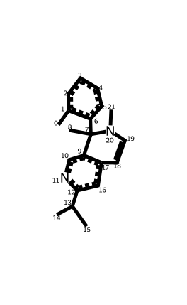 Cc1ccccc1C1(C)c2cnc(C(C)C)cc2C=CN1C